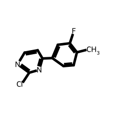 Cc1ccc(-c2ccnc(Cl)n2)cc1F